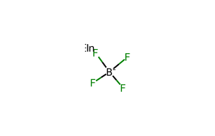 F[B-](F)(F)F.[In]